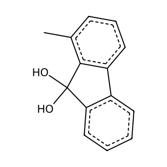 Cc1cccc2c1C(O)(O)c1ccccc1-2